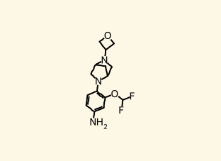 Nc1ccc(N2CC3CC2CN3C2COC2)c(OC(F)F)c1